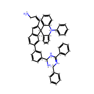 NC/C=C\C1=Cc2ccc(-c3cccc(C(N)N/C(=N\Cc4ccccc4)c4ccccc4)c3)cc2C12c1ccccc1N(c1ccccc1)c1ccccc12